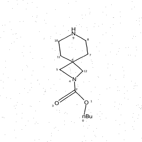 CCCCOC(=O)N1CC2(CCNCC2)C1